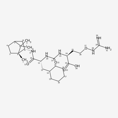 CC1(C)C2CC[C@@]1(C)[C@@H](NC(=O)[C@@H](CC1CCCCC1)NC(=O)N[C@@H](CCONC(=N)N)C(=O)O)C2